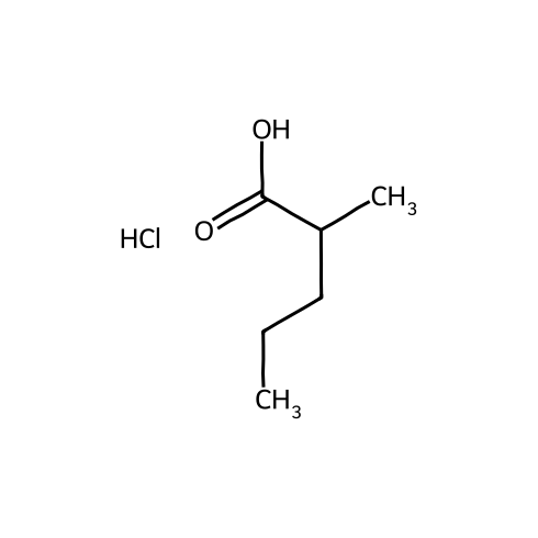 CCCC(C)C(=O)O.Cl